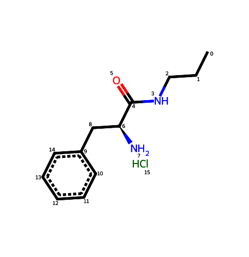 CCCNC(=O)[C@@H](N)Cc1ccccc1.Cl